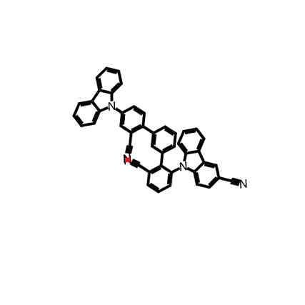 N#Cc1ccc2c(c1)c1ccccc1n2-c1cccc(C#N)c1-c1cccc(-c2ccc(-n3c4ccccc4c4ccccc43)cc2C#N)c1